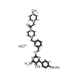 CC(=O)Nc1ccc(-c2nc(SCc3cccc(CN4CCN(C(=O)CN5CCN(C)CC5)CC4)n3)nc(N)c2C#N)cc1.Cl